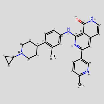 Cc1ccc(-c2cc3cc[nH]c(=O)c3c(Nc3ccc(C4CCN(C5CC5)CC4)c(C)c3)n2)cn1